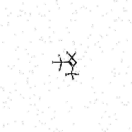 FC(F)(F)C1=C(C(F)(F)F)C(F)(F)C1